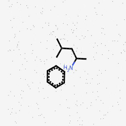 CC(C)CC(C)N.c1ccccc1